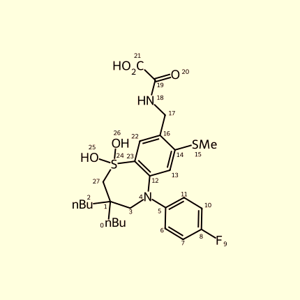 CCCCC1(CCCC)CN(c2ccc(F)cc2)c2cc(SC)c(CNC(=O)C(=O)O)cc2S(O)(O)C1